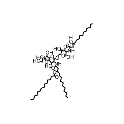 CCCCCCCCCCCCCC(=O)O[C@H](CCCCCCCCCCC)CC(=O)N[C@H]1C(O)[C@H](OP(=O)(O)CO)C(CO)O[C@H]1OCC1O[C@H](O)C(NC(=O)C[C@H](O)CCCCCCCCCCC)[C@@H](O)[C@@H]1O